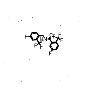 O=C(NCc1ccc(F)cc1C(F)(F)F)c1cc(F)ccc1C(F)(F)F